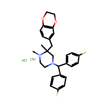 CN1CCN(C(c2ccc(F)cc2)c2ccc(F)cc2)CC1(C)Cc1ccc2c(c1)OCCO2.Cl.Cl